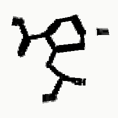 O=C(O)c1ccccc1OB(O)O.[LiH]